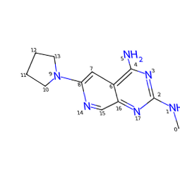 CNc1nc(N)c2cc(N3CCCC3)ncc2n1